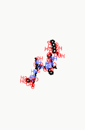 CCC(C)(CC(C)(CC(C)(C)C(=O)NCCCNC(=O)C(CCOC=O)NC(=O)C1(O)CC(O)C(O)C(O)C1)C(=O)NCC(C)O)C(=O)NCC(=O)NC(Cc1ccccc1)C(=O)NC(CC(C)C)C(=O)NCC(=O)NC1CC(OC2C[C@](O)(C(=O)CO)CC3C(O)=C4C(=O)C5C=CC=C(OC)C5C(=O)C4=C(O)C23)OCC1O